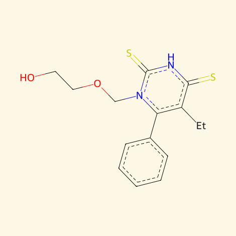 CCc1c(-c2ccccc2)n(COCCO)c(=S)[nH]c1=S